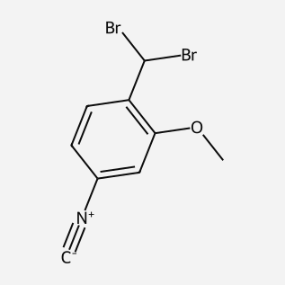 [C-]#[N+]c1ccc(C(Br)Br)c(OC)c1